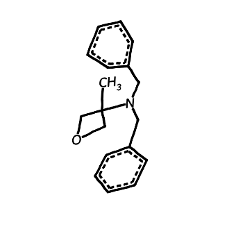 CC1(N(Cc2ccccc2)Cc2ccccc2)COC1